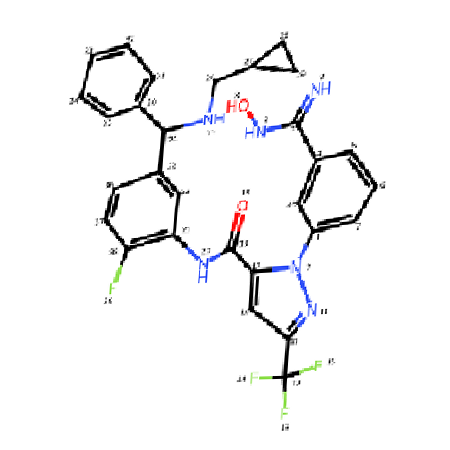 N=C(NO)c1cccc(-n2nc(C(F)(F)F)cc2C(=O)Nc2cc(C(NCC3CC3)c3ccccc3)ccc2F)c1